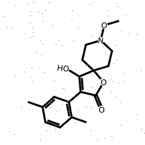 CON1CCC2(CC1)OC(=O)C(c1cc(C)ccc1C)=C2O